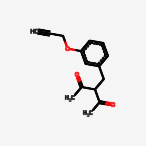 C#CCOc1cccc(CC(C(C)=O)C(C)=O)c1